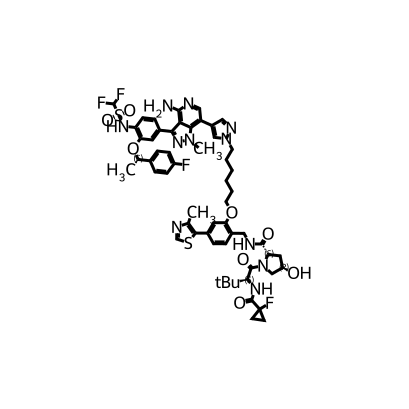 Cc1ncsc1-c1ccc(CNC(=O)[C@@H]2C[C@@H](O)CN2C(=O)[C@@H](NC(=O)C2(F)CC2)C(C)(C)C)c(OCCCCCCn2cc(-c3cnc(N)c4c(-c5ccc(NS(=O)(=O)C(F)F)c(O[C@@H](C)c6ccc(F)cc6)c5)nn(C)c34)cn2)c1